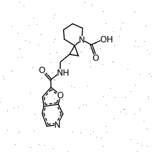 O=C(NCC1CC12CCCCN2C(=O)O)c1cc2ccncc2o1